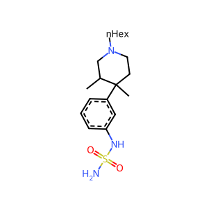 CCCCCCN1CCC(C)(c2cccc(NS(N)(=O)=O)c2)C(C)C1